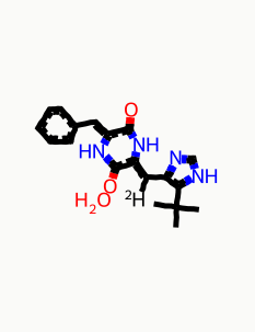 O.[2H]/C(c1nc[nH]c1C(C)(C)C)=c1/[nH]c(=O)/c(=C/c2ccccc2)[nH]c1=O